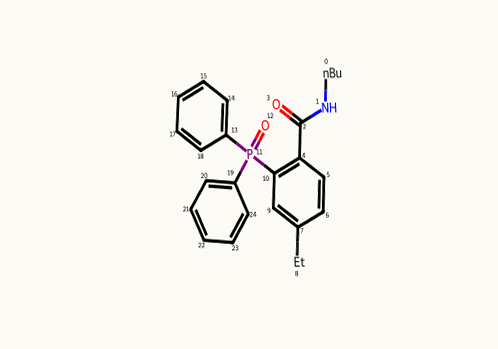 CCCCNC(=O)c1ccc(CC)cc1P(=O)(c1ccccc1)c1ccccc1